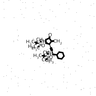 C=C1C(=O)C[C@@H](O[Si](C)(C)C(C)(C)C)[C@@H]1C#C[C@H](O[Si](C)(C)C(C)(C)C)C1CCCCC1